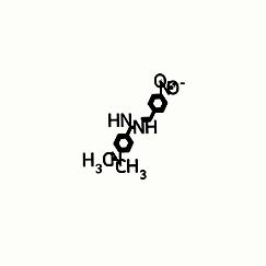 CN(C)c1ccc(C(=N)NC=Cc2ccc([N+](=O)[O-])cc2)cc1